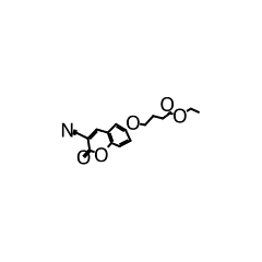 CCOC(=O)CCCOc1ccc2oc(=O)c(C#N)cc2c1